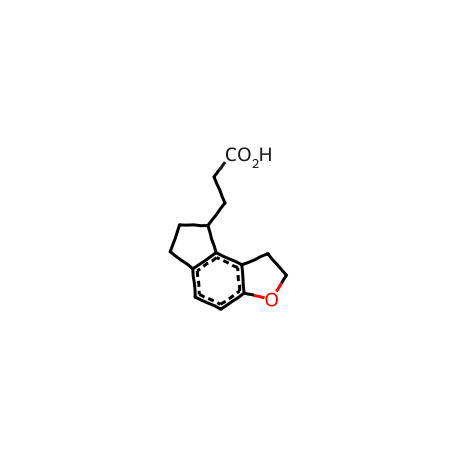 O=C(O)CCC1CCc2ccc3c(c21)CCO3